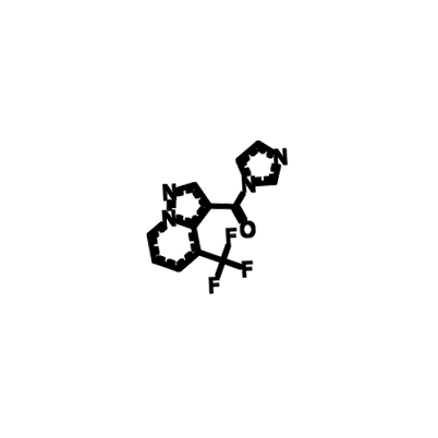 O=C(c1cnn2cccc(C(F)(F)F)c12)n1ccnc1